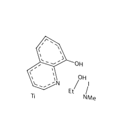 CCO.CNI.Oc1cccc2cccnc12.[Ti]